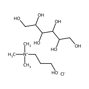 C[N+](C)(C)CCCO.OCC(O)C(O)C(O)C(O)CO.[Cl-]